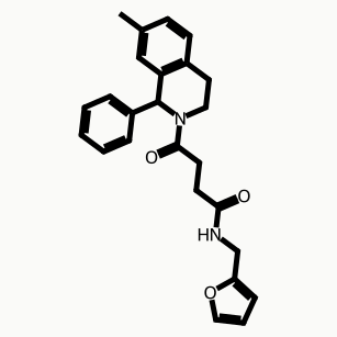 Cc1ccc2c(c1)C(c1ccccc1)N(C(=O)CCC(=O)NCc1ccco1)CC2